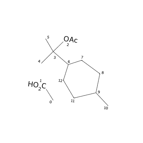 CC(=O)O.CC(=O)OC(C)(C)C1CCC(C)CC1